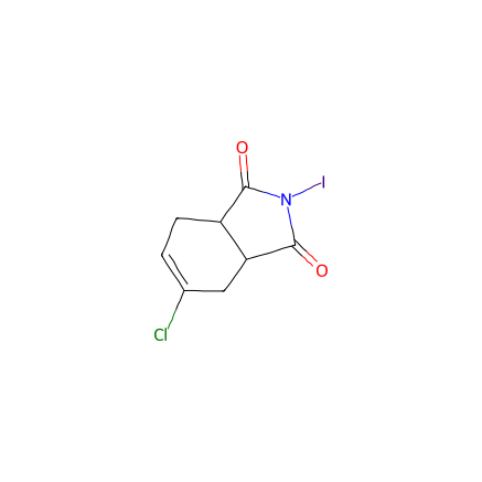 O=C1C2CC=C(Cl)CC2C(=O)N1I